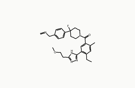 C=NCc1ccc(C2(F)CCN(C(=O)c3cc(-c4nnc(CCOC)[nH]4)c(CC)cc3C)CC2)cc1